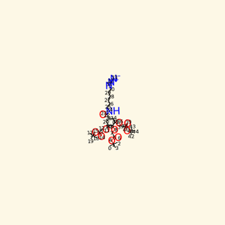 CC(C)(C)OC(=O)COC1[C@H](OCC(=O)OC(C)(C)C)CC(C(=O)NCCCCCCN=[N+]=[N-])C[C@H]1OCC(=O)OC(C)(C)C